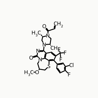 C=CC(=O)N1C[C@H](C)N(c2nc(=O)n3c4c(c(-c5ccc(F)c(Cl)c5)c(C(F)(F)F)cc24)SC[C@@H](OC)C3)C[C@H]1C